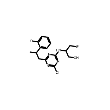 CC(C)CC(CO)Nc1nc(Cl)nc(CC(C)c2ccccc2F)n1